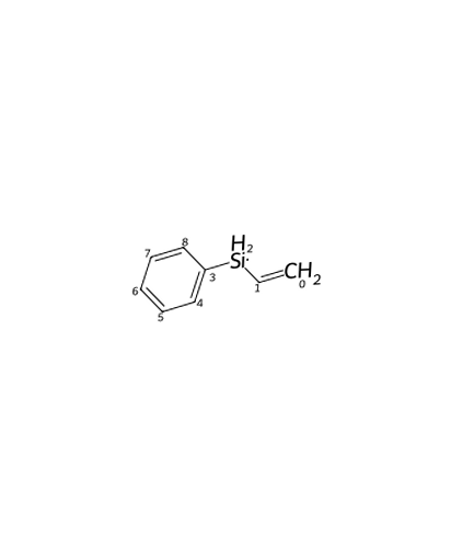 C=C[SiH]c1ccccc1